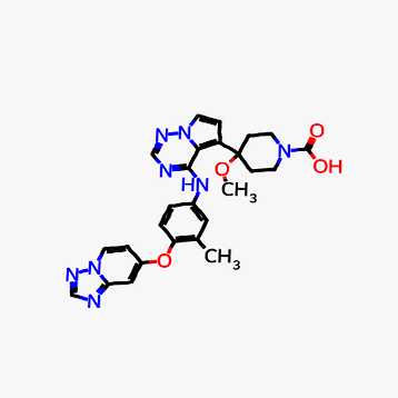 COC1(c2ccn3ncnc(Nc4ccc(Oc5ccn6ncnc6c5)c(C)c4)c23)CCN(C(=O)O)CC1